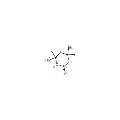 CC(C)(C)C1(C)CC(C)(C(C)(C)C)O[SiH](Cl)O1